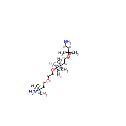 CC(C)(N)CCOCCOC(C)(C)C(C)(C)CCOC(C)(C)CCN